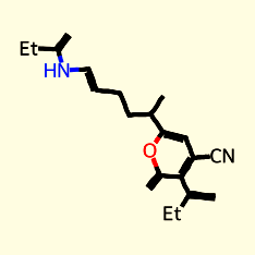 C=C(CC)N/C=C/CCC(C)C1=CC(C#N)=C(C(=C)CC)C(=C)O1